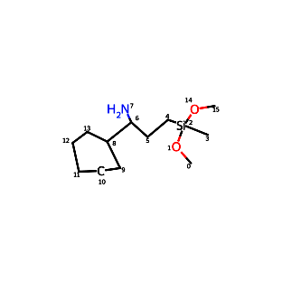 CO[Si](C)(CCC(N)C1CCCCC1)OC